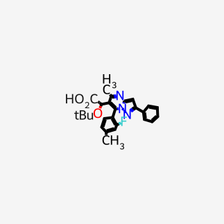 Cc1ccc(-c2c(C(OC(C)(C)C)C(=O)O)c(C)nc3cc(-c4ccccc4)nn23)c(F)c1